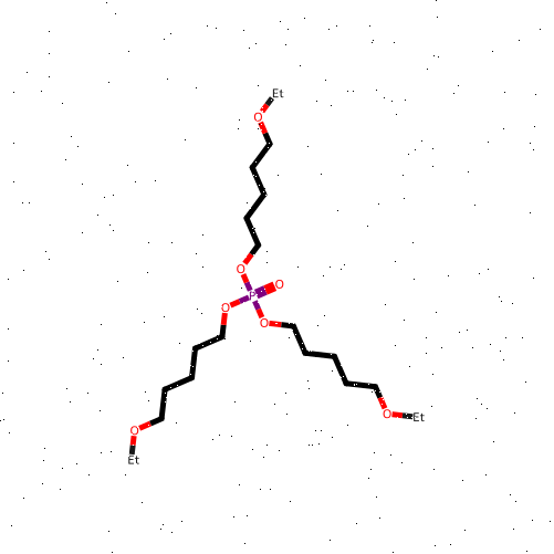 CCOCCCCCOP(=O)(OCCCCCOCC)OCCCCCOCC